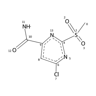 CS(=O)(=O)c1nc(Cl)cc(C([NH])=O)n1